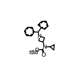 CC(C)(C)OC(=O)N(C1CC1)C1CN(C(c2ccccc2)c2ccccc2)C1